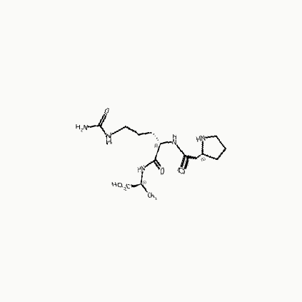 C[C@H](NC(=O)[C@H](CCCNC(N)=O)NC(=O)[C@@H]1CCCN1)C(=O)O